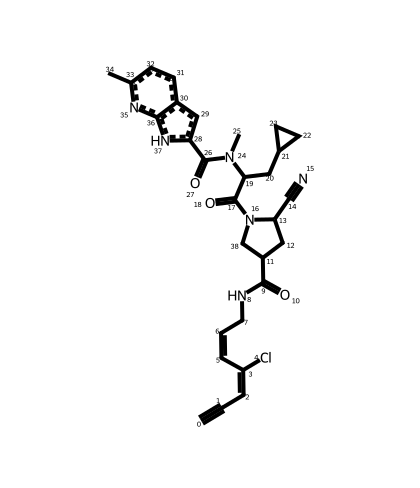 C#C/C=C(Cl)\C=C/CNC(=O)C1CC(C#N)N(C(=O)C(CC2CC2)N(C)C(=O)c2cc3ccc(C)nc3[nH]2)C1